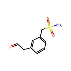 NS(=O)(=O)Cc1cccc(C[C]=O)c1